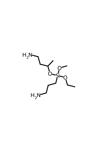 CCO[Si](CCCN)(OC)OC(C)CCN